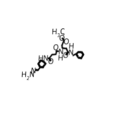 CCOC(=O)CC(CC(=O)NCc1ccccc1)NC(=O)CCC(=O)Nc1ccc(C=NN)cc1